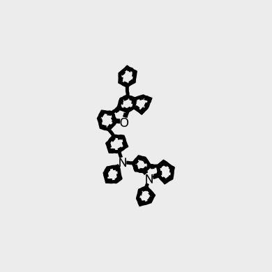 c1ccc(-c2cc3c4cccc(-c5ccc(N(c6ccccc6)c6ccc7c8ccccc8n(-c8ccccc8)c7c6)cc5)c4oc3c3ccccc23)cc1